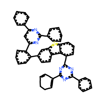 C1=CC(c2nc(-c3ccccc3)nc(-c3cccc4sc5cc(-c6ccccc6-c6cc(-c7ccccc7)nc(-c7ccccc7)n6)ccc5c34)n2)=CCC1